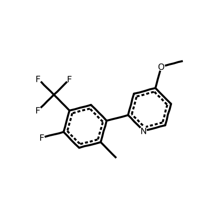 COc1ccnc(-c2cc(C(F)(F)F)c(F)cc2C)c1